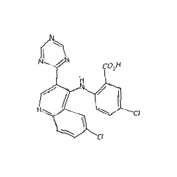 O=C(O)c1cc(Cl)ccc1Nc1c(-c2ncncn2)cnc2ccc(Cl)cc12